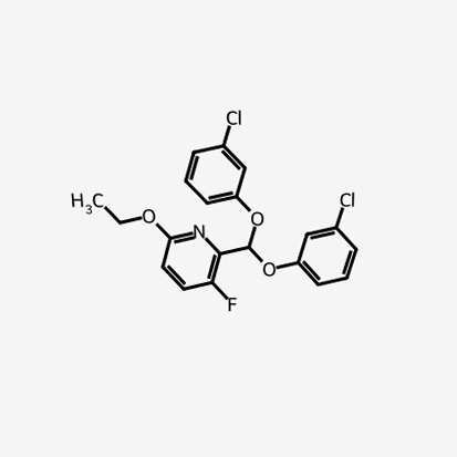 CCOc1ccc(F)c(C(Oc2cccc(Cl)c2)Oc2cccc(Cl)c2)n1